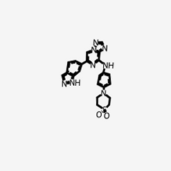 O=S1(=O)CCN(c2ccc(Nc3nc(-c4ccc5cn[nH]c5c4)cn4ncnc34)cc2)CC1